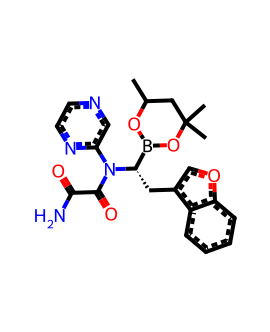 CC1CC(C)(C)OB([C@H](Cc2coc3ccccc23)N(C(=O)C(N)=O)c2cnccn2)O1